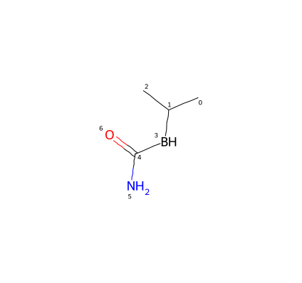 CC(C)BC(N)=O